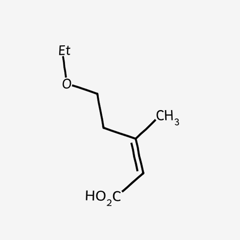 CCOCC/C(C)=C\C(=O)O